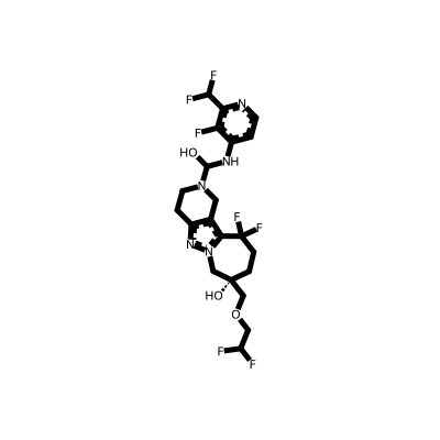 OC(Nc1ccnc(C(F)F)c1F)N1CCc2nn3c(c2C1)C(F)(F)CC[C@@](O)(COCC(F)F)C3